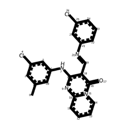 Cc1cc(Cl)cc(Nc2nc3ccccn3c(=O)c2/C=N/c2cccc(Cl)c2)c1